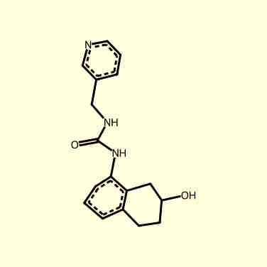 O=C(NCc1cccnc1)Nc1cccc2c1CC(O)CC2